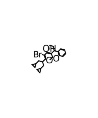 CCC(c1ccccc1)c1c(O)c(Br)c(C(CC2CC2)CC2CC2)oc1=O